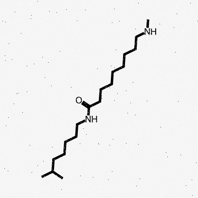 CNCCCCCCCCC(=O)NCCCCCC(C)C